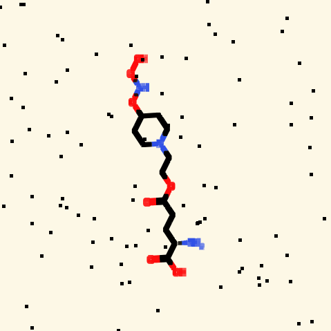 N[C@@H](CCC(=O)OCCN1CCC(ONOO)CC1)C(=O)O